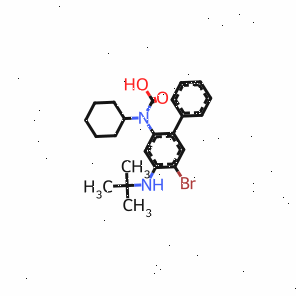 CC(C)(C)Nc1cc(N(C(=O)O)C2CCCCC2)c(-c2ccccc2)cc1Br